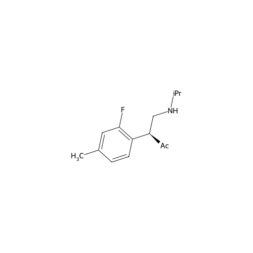 CC(=O)[C@H](CNC(C)C)c1ccc(C)cc1F